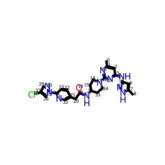 Cc1cc(Nc2cc(C)[nH]n2)nc(N2CCC(NC(=O)Cc3ccc(-n4cc(Cl)cn4)nc3)CC2)n1